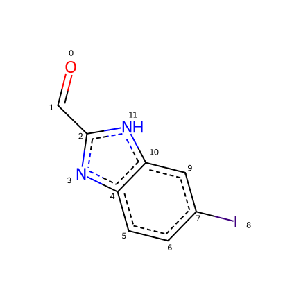 O=Cc1nc2ccc(I)cc2[nH]1